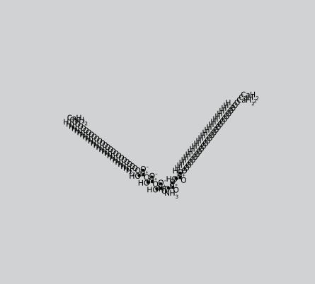 N.O.O.O.O.O.O.O.O.O.O.O.O.O.O.O.O.O.O.O.O.O.O.O.O.O.O.O.O.O.O.O.O.O.O.O.O.O.O.O.O.O.O.O.O.O.O.O.O.O.O.O=[N+]([O-])O.O=[N+]([O-])O.O=[N+]([O-])O.O=[N+]([O-])O.O=[N+]([O-])O.[CaH2].[CaH2].[CaH2].[CaH2].[CaH2]